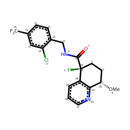 CO[C@H]1CC[C@@](F)(C(=O)NCc2ccc(C(F)(F)F)cc2Cl)c2cccnc21